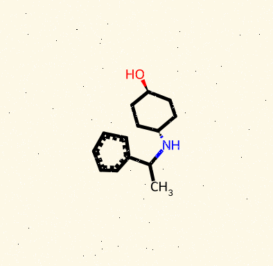 CC(N[C@H]1CC[C@H](O)CC1)c1ccccc1